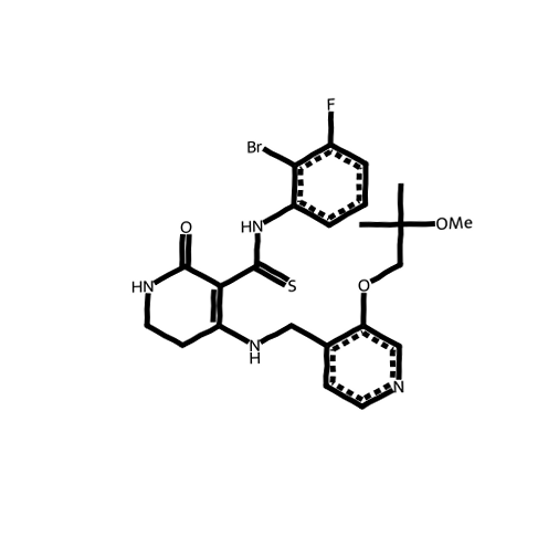 COC(C)(C)COc1cnccc1CNC1=C(C(=S)Nc2cccc(F)c2Br)C(=O)NCC1